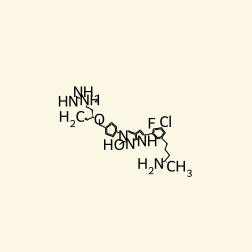 C=C[C@@H](CCNC(=N)N)OCc1ccc(N2C=c3cc(-c4cc(CCC[C@H](C)N)cc(Cl)c4F)[nH]c3=NC2O)cc1